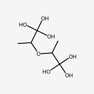 CC(OC(C)C(O)(O)O)C(O)(O)O